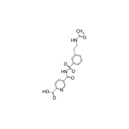 CC(=O)NCCc1cccc(S(=O)(=O)NC(=O)c2ccc(C(=O)O)nc2)c1